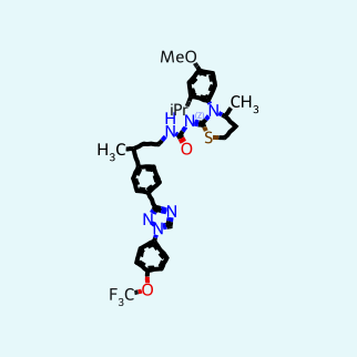 COc1ccc(N2/C(=N/C(=O)NCCC(C)c3ccc(-c4ncn(-c5ccc(OC(F)(F)F)cc5)n4)cc3)SCCC2C)c(C(C)C)c1